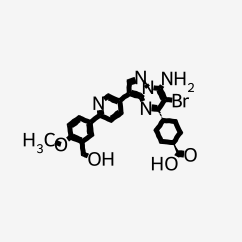 COc1ccc(-c2ccc(-c3cnn4c(N)c(Br)c([C@H]5CC[C@H](C(=O)O)CC5)nc34)cn2)cc1CO